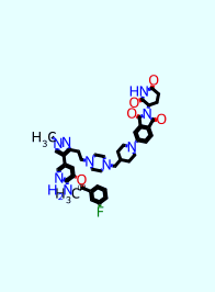 C[C@@H](Oc1cc(-c2cn(C)nc2CCN2CCN(CC3CCN(c4ccc5c(c4)C(=O)N(C4CCC(=O)NC4=O)C5=O)CC3)CC2)cnc1N)c1cccc(F)c1